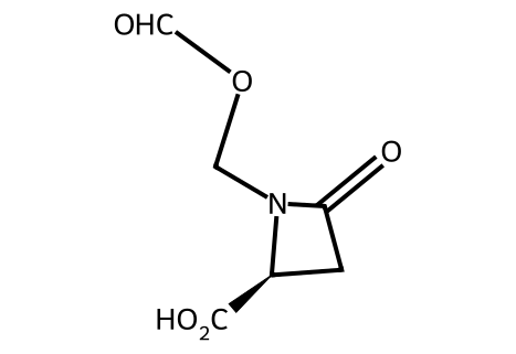 O=COCN1C(=O)C[C@H]1C(=O)O